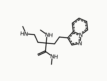 C=C(NC)C(CCNC)(CCc1cnn2ccccc12)NC